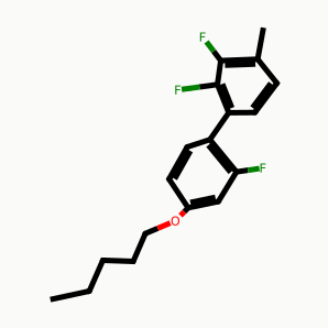 CCCCCOc1ccc(-c2ccc(C)c(F)c2F)c(F)c1